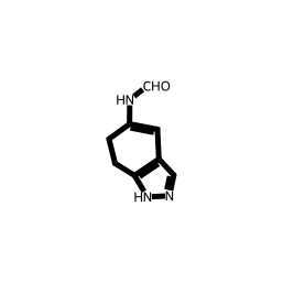 O=CNC1=Cc2cn[nH]c2CC1